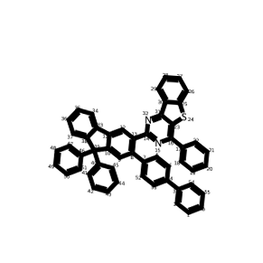 c1ccc(-c2ccc(-c3cc4c(cc3-c3nc(-c5ccccc5)c5sc6ccccc6c5n3)-c3ccccc3C4(c3ccccc3)c3ccccc3)cc2)cc1